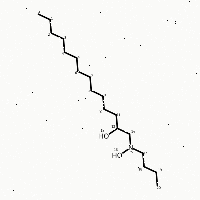 CCCCCCCCCCCCC(O)CN(O)CCCC